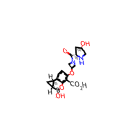 O=C(O)c1c(OC2CN(C(=O)[C@@H]3C[C@H](O)CN3)C2)ccc2c1OB(O)[C@@H]1C[C@H]21